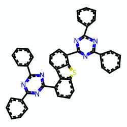 c1ccc(-c2nc(-c3ccccc3)nc(-c3cccc4c3sc3cccc(-c5nc(-c6ccccc6)nc(-c6ccccc6)n5)c34)n2)cc1